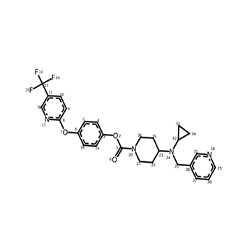 O=C(Oc1ccc(Oc2ccc(C(F)(F)F)cn2)cc1)N1CCC(N(Cc2cccnc2)C2CC2)CC1